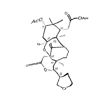 C=C1C2CC[C@@]3(C)[C@H]([C@H]4CCOC4)OC(=O)C[C@]13O[C@H]1C[C@H](OC(C)=O)C(C)(C)[C@H](CC(=O)OC)[C@@]21C